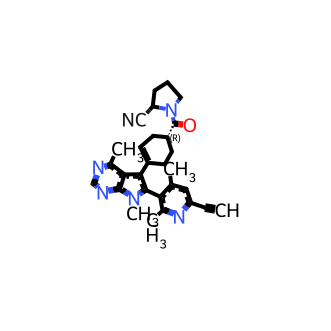 C#Cc1cc(C)c(-c2c(C3=CC[C@H](C(=O)N4CCCC4C#N)CC3)c3c(C)ncnc3n2C)c(C)n1